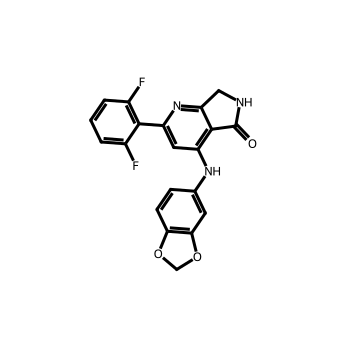 O=C1NCc2nc(-c3c(F)cccc3F)cc(Nc3ccc4c(c3)OCO4)c21